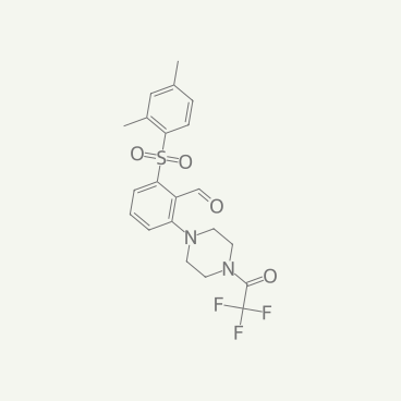 Cc1ccc(S(=O)(=O)c2cccc(N3CCN(C(=O)C(F)(F)F)CC3)c2C=O)c(C)c1